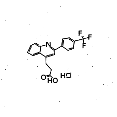 Cl.O=C(O)CCc1cc(-c2ccc(C(F)(F)F)cc2)nc2ccccc12